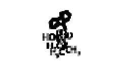 CC(C)(C)CN(CC(=O)O)C(=O)OCC1c2ccccc2-c2ccccc21